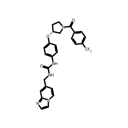 O=C(NCc1ccn2ccnc2c1)Nc1ccc(O[C@@H]2CCN(C(=O)c3ccc(C(F)(F)F)cc3)C2)cc1